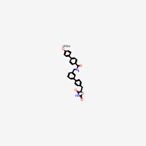 CCCCCCOc1ccc(-c2ccc(C(=O)N(C)Cc3cccc(-c4ccc(CC5SC(=O)NC5=O)cc4)c3)cc2)cc1